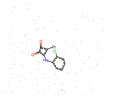 CCc1c(Nc2ccccc2Cl)c(=O)c1=O